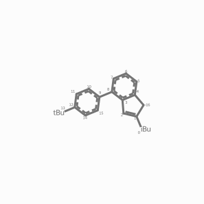 CCC(C)C1=Cc2c(cccc2-c2ccc(C(C)(C)C)cc2)[CH]1